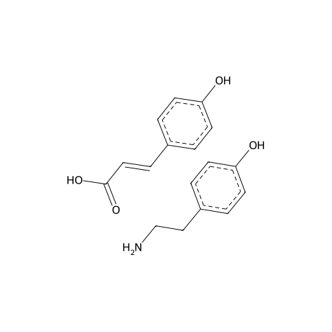 NCCc1ccc(O)cc1.O=C(O)C=Cc1ccc(O)cc1